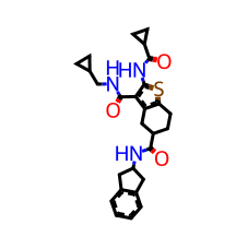 O=C(NCC1CC1)c1c(NC(=O)C2CC2)sc2c1CC(C(=O)NC1Cc3ccccc3C1)CC2